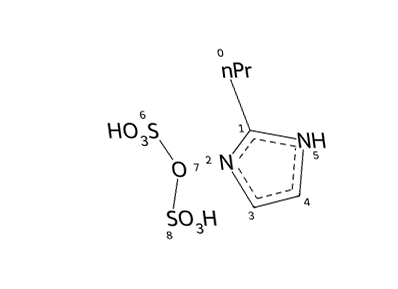 CCCc1ncc[nH]1.O=S(=O)(O)OS(=O)(=O)O